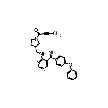 CC#CC(=O)N1CC[C@H](CNc2ncncc2C(=N)c2ccc(Oc3ccccc3)cc2)C1